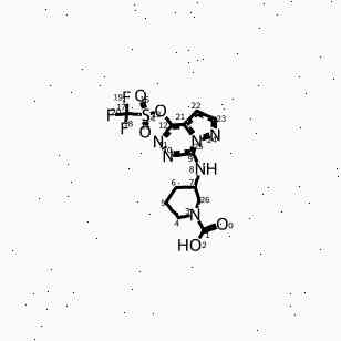 O=C(O)N1CCCC(Nc2nnc(OS(=O)(=O)C(F)(F)F)c3ccnn23)C1